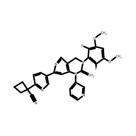 C=C1N(c2c(F)c(OC)cc(OC)c2F)Cc2cnc(-c3ccc(C4(C#N)CCC4)nc3)cc2N1c1cccnc1